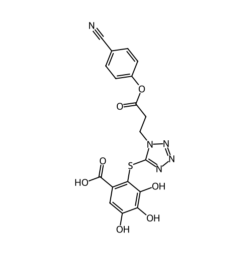 N#Cc1ccc(OC(=O)CCn2nnnc2Sc2c(C(=O)O)cc(O)c(O)c2O)cc1